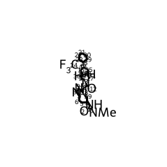 CNC(=O)Nc1ccc2nnc(C(=O)N3C[C@H]4C[C@@H](c5ccccc5C(F)(F)F)C[C@H]4C3)n2c1